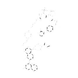 C=CC(=O)N1CCN(c2nc(O[C@H](C)CN3CCC(OCCOCC(=O)N[C@H](C(=O)N4C[C@@H](O)C[C@H]4C(=O)N[C@@H](C)c4ccc(-c5scnc5C)cc4)C(C)(C)C)CC3)nc3c(F)c(-c4cc(O)cc5ccccc45)c(Cl)cc23)CC1